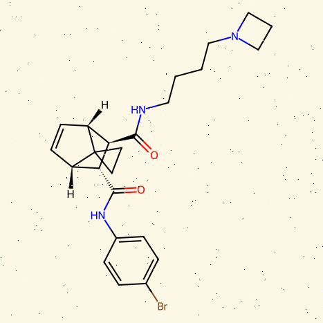 O=C(NCCCCN1CCC1)[C@H]1[C@H](C(=O)Nc2ccc(Br)cc2)[C@@H]2C=C[C@H]1C21CC1